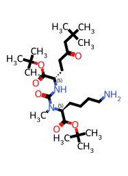 CN(C(=O)N[C@@H](CCC(=O)CC(C)(C)C)C(=O)OC(C)(C)C)[C@@H](CCCCN)C(=O)OC(C)(C)C